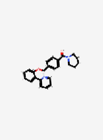 O=C(c1ccc(COc2ccccc2-c2ccccn2)cc1)N1CCCCC1